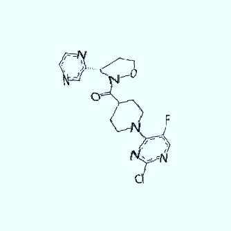 O=C(C1CCN(c2nc(Cl)ncc2F)CC1)N1OCC[C@H]1c1cnccn1